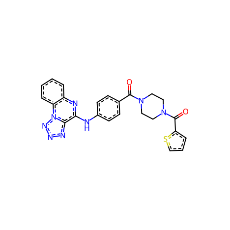 O=C(c1ccc(Nc2nc3ccccc3n3nnnc23)cc1)N1CCN(C(=O)c2cccs2)CC1